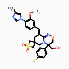 COc1cc(/C=C2\CC3(CN4C2=NOCC4(CO)c2ccc(F)cc2)CS(=O)(=O)C3)ccc1-n1cnc(C)c1